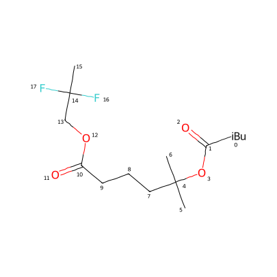 CCC(C)C(=O)OC(C)(C)CCCC(=O)OCC(C)(F)F